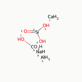 O=C(O)O.O=[Si](O)O.[AlH3].[CaH2].[NaH]